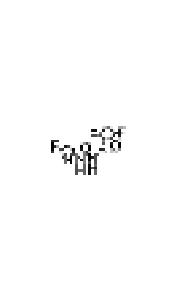 O=C(Nc1ccc(F)cn1)NC1C2COc3c(F)ccc(F)c3C21